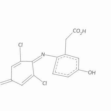 O=C1C=C(Cl)C(=Nc2ccc(O)cc2CC(=O)O)C(Cl)=C1